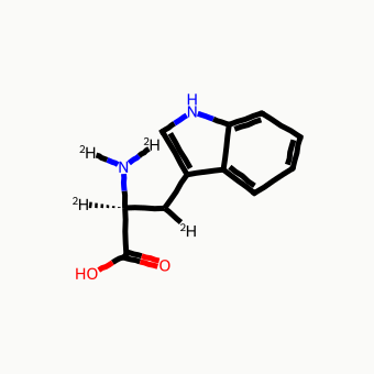 [2H]C(c1c[nH]c2ccccc12)[C@@]([2H])(C(=O)O)N([2H])[2H]